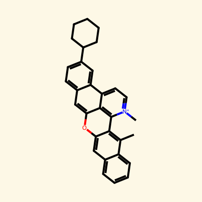 Cc1c2c(cc3ccccc13)Oc1cc3ccc(C4CCCCC4)cc3c3cc[n+](C)c-2c13